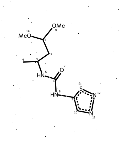 COC(CC(C)NC(=O)Nc1cnns1)OC